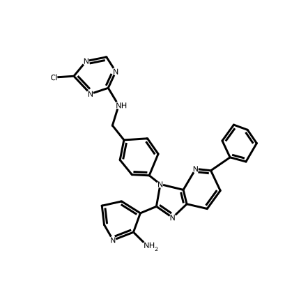 Nc1ncccc1-c1nc2ccc(-c3ccccc3)nc2n1-c1ccc(CNc2ncnc(Cl)n2)cc1